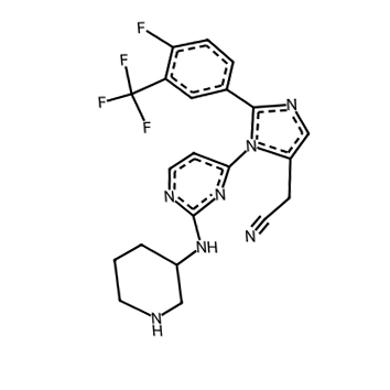 N#CCc1cnc(-c2ccc(F)c(C(F)(F)F)c2)n1-c1ccnc(NC2CCCNC2)n1